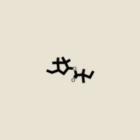 CCC1CC(OC(=O)C(C)(C)CC)C(C)(C)C1(C)C